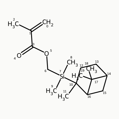 C=C(C)C(=O)OC[Si](C)(C)C1(C)CCC2CC1C2(C)C